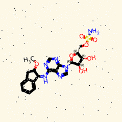 COC1Cc2ccccc2C1Nc1ncnc2c1ncn2[C@@H]1O[C@H](COS(N)(=O)=O)[C@@H](O)[C@H]1O